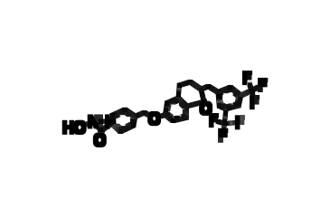 O=C(NO)c1ccc(COc2ccc3c(c2)CCC(Cc2cc(C(F)(F)F)cc(C(F)(F)F)c2)C3=O)cc1